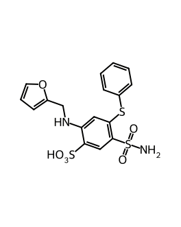 NS(=O)(=O)c1cc(S(=O)(=O)O)c(NCc2ccco2)cc1Sc1ccccc1